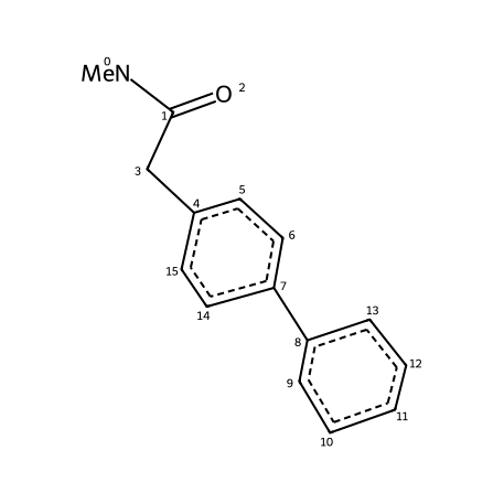 CNC(=O)Cc1ccc(-c2ccccc2)cc1